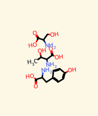 CC(O)C(N)C(=O)O.NC(CO)C(=O)O.NC(Cc1ccc(O)cc1)C(=O)O